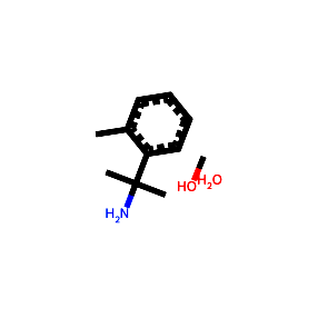 CO.Cc1ccccc1C(C)(C)N.O